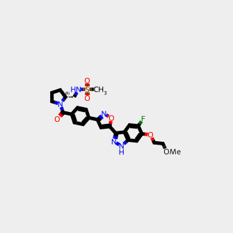 COCCOc1cc2[nH]nc(-c3cc(-c4ccc(C(=O)N5CCC[C@@H]5CNS(C)(=O)=O)cc4)no3)c2cc1F